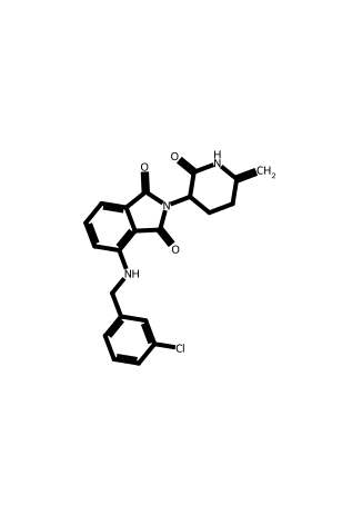 C=C1CCC(N2C(=O)c3cccc(NCc4cccc(Cl)c4)c3C2=O)C(=O)N1